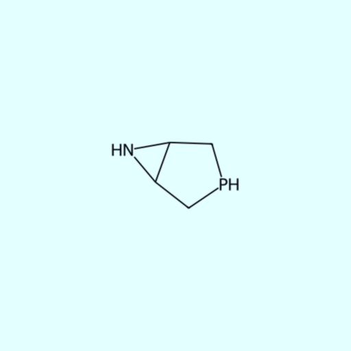 C1PCC2NC12